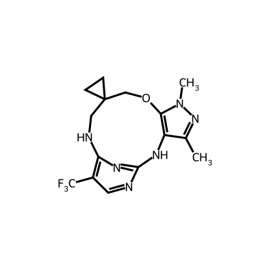 Cc1nn(C)c2c1Nc1ncc(C(F)(F)F)c(n1)NCC1(CC1)CO2